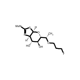 CNC1=N[C@@H]2[C@@H](O)[C@H](O)[C@@H]([C@H](C)OCCCF)O[C@@H]2S1